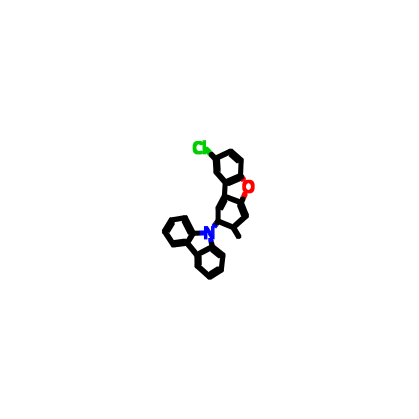 CC1C=c2oc3ccc(Cl)cc3c2=CC1n1c2ccccc2c2ccccc21